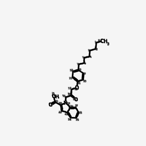 CCCCCCCCc1ccc(OCC(=O)Cn2c(C(=O)O)cc3ccccc32)cc1